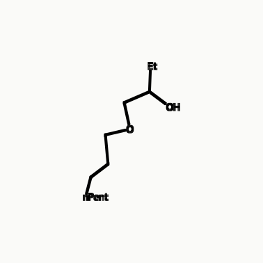 CCCCCCCCOCC(O)CC